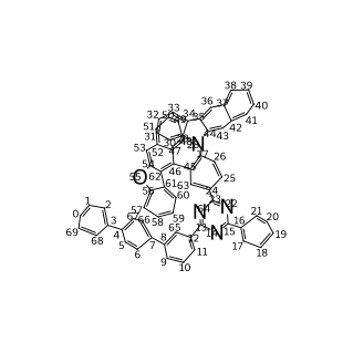 c1ccc(-c2ccc(-c3cccc(-c4nc(-c5ccccc5)nc(-c5ccc(-n6c7ccccc7c7cc8ccccc8cc76)c(-c6c7ccccc7cc7oc8ccccc8c67)c5)n4)c3)cc2)cc1